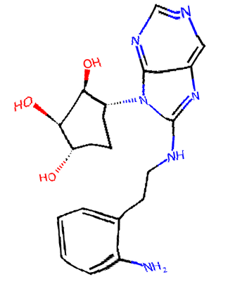 Nc1ccccc1CCNc1nc2cncnc2n1[C@@H]1C[C@H](O)[C@@H](O)[C@H]1O